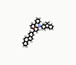 CC1(C)c2ccccc2-c2ccc(N(c3ccc(-c4ccc5c(ccc6c7ccccc7ccc56)c4)cc3)c3ccccc3-c3ccccc3)cc21